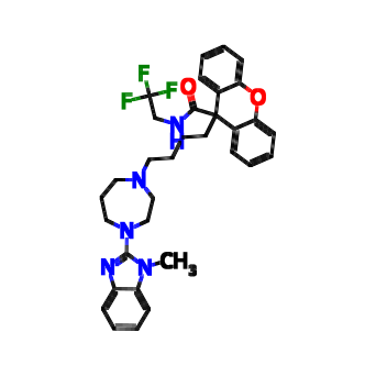 Cn1c(N2CCCN(CCCCC3(C(=O)NCC(F)(F)F)c4ccccc4Oc4ccccc43)CC2)nc2ccccc21